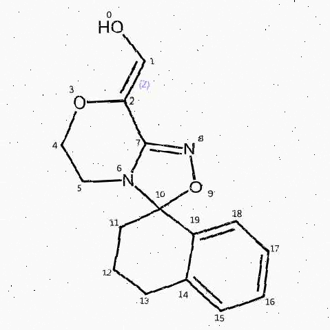 O/C=C1\OCCN2C1=NOC21CCCc2ccccc21